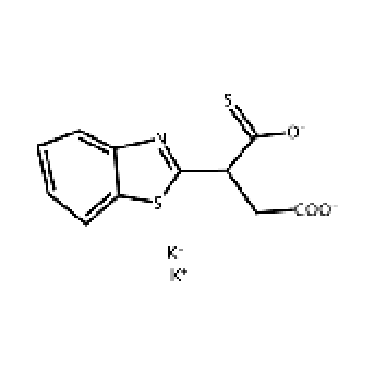 O=C([O-])CC(C([O-])=S)c1nc2ccccc2s1.[K+].[K+]